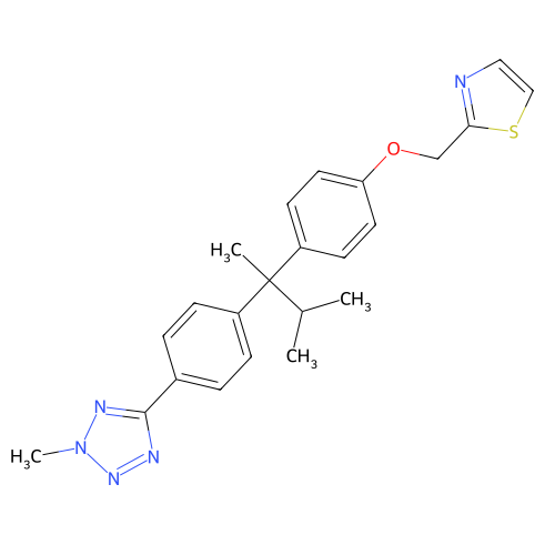 CC(C)C(C)(c1ccc(OCc2nccs2)cc1)c1ccc(-c2nnn(C)n2)cc1